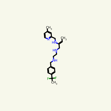 C/C=C(/CNCCNCc1ccc(C(C)(F)F)cc1)NCc1cc(C)ccn1